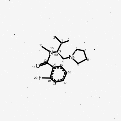 CC(C)[C@@H](CN1CCCC1)N(C)C(=O)c1ccccc1F